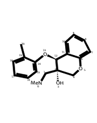 CNC[C@]1(O)COc2ccccc2[C@@H]1Oc1ccccc1C